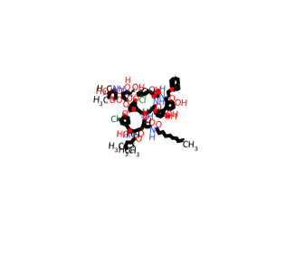 CCCCCCCCCC(=O)NC(=O)C[C@@H]1CC(=O)[C@H](NC(=O)[C@H](CC)CC(C)C)[C@H](O)c2ccc(c(Cl)c2)Oc2cc3cc(c2O[C@@H]2O[C@H](CO)[C@@H](O)[C@H](O)[C@H]2O[C@H]2C[C@](C)(N)[C@H](O)[C@H](C)O2)Oc2ccc(cc2Cl)[C@@H](O)[C@@H]2NC(=O)[C@H](CC(=O)[C@@H]3NC1=O)c1ccc(O)c(c1)-c1c(O)cc(O)cc1[C@@H](C(=O)CC1C3CC4CC(C3)CC1C4)NC2=O